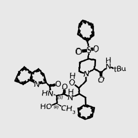 C[C@@H](O)[C@H](NC(=O)c1ccc2ccccc2n1)C(=O)NC(Cc1ccccc1)C(O)CN1CCC(S(=O)(=O)c2ccccc2)CC1C(=O)NC(C)(C)C